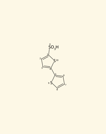 O=S(=O)(O)c1ccc(-c2cccs2)s1